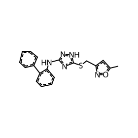 Cc1cc(CSc2nc(Nc3ccccc3-c3ccccc3)n[nH]2)no1